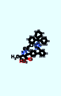 CCC[N+]1(C)N=C(C(C)C)C(C(=O)O)=C1c1ccc(-c2ccccc2-c2nnn(C(c3ccccc3)(c3ccccc3)c3ccccc3)n2)cc1